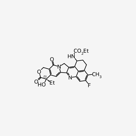 CCOC(=O)NC1CCc2c(C)c(F)cc3nc4c(c1c23)Cn1c-4cc2c(c1=O)COC(=O)[C@]2(O)CC